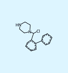 ClC(c1ccccc1-c1ccccc1)N1CCNCC1